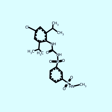 CNS(=O)(=O)c1cccc(S(=O)(=O)NC(=O)Nc2c(C(C)C)cc(Cl)cc2C(C)C)c1